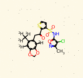 [2H]c1c(CC(=O)c2sccc2S(=O)(=O)Nc2onc(C)c2Cl)c(C([2H])([2H])[2H])c([2H])c2c1OCO2